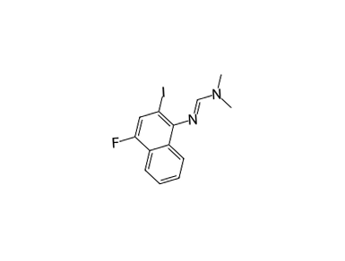 CN(C)/C=N/c1c(I)cc(F)c2ccccc12